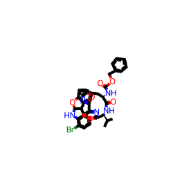 CC(C)[C@@H]1NC(=O)[C@@H](NC(=O)OCc2ccccc2)Cc2ccc3c(c2)[C@@]2(c4cccc(Br)c4NC2O3)c2oc1nc2-c1ncco1